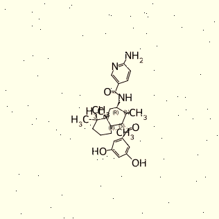 C[C@@H]1[C@H](NC(=O)c2ccc(N)nc2)C[C@@]2(C)C(C)(C)CCC[C@]2(C)[C@H]1C(=O)c1cc(O)cc(O)c1